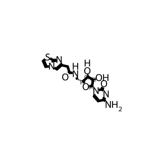 Nc1ccn([C@@H]2O[C@H](CNC(=O)Cc3cn4ccsc4n3)[C@@H](O)[C@H]2O)c(=O)n1